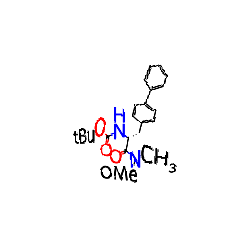 CON(C)C(=O)[C@@H](Cc1ccc(-c2ccccc2)cc1)NC(=O)OC(C)(C)C